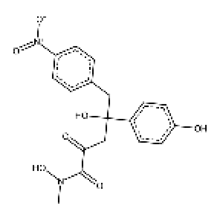 CN(O)C(=O)C(=O)CC(O)(Cc1ccc([N+](=O)[O-])cc1)c1ccc(O)cc1